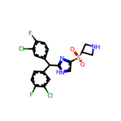 O=S(=O)(c1c[nH]c(C(c2ccc(F)c(Cl)c2)c2ccc(F)c(Cl)c2)n1)C1CNC1